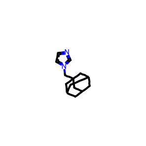 c1cn(CC23CC4CC(CC(C4)C2)C3)cn1